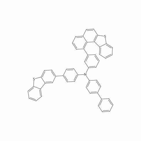 c1ccc(-c2ccc(N(c3ccc(-c4ccc5sc6ccccc6c5c4)cc3)c3cccc(-c4cccc5ccc6sc7ccccc7c6c45)c3)cc2)cc1